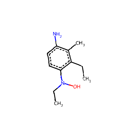 CCc1c(N(O)CC)ccc(N)c1C